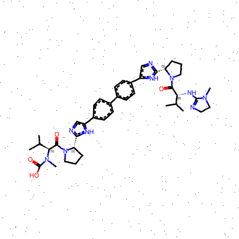 CC(C)[C@@H](C(=O)N1CCC[C@H]1c1ncc(-c2ccc(-c3ccc(-c4cnc([C@@H]5CCCN5C(=O)[C@H](NC5=NCCN5C)C(C)C)[nH]4)cc3)cc2)[nH]1)N(C)C(=O)O